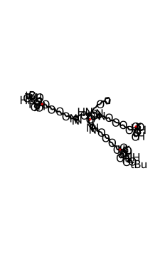 CC(C)(C)OC(=O)N[C@H]1[C@H]2OC[C@](COCCOCCOCCOCCn3cc(COCC(COCc4cn(CCOCCOCCOCCOC[C@@]56CO[C@@H](O5)[C@H](NC(=O)OC(C)(C)C)[C@H]5OC(C)(C)O[C@H]56)nn4)(COCc4cn(CCOCCOCCOCCOC[C@]56CO[C@H](C[C@H]7OC(C)(C)O[C@H]75)O6)nn4)NC(=O)CCCOCc4ccccc4)nn3)(O2)[C@@H]2OC(C)(C)O[C@H]12